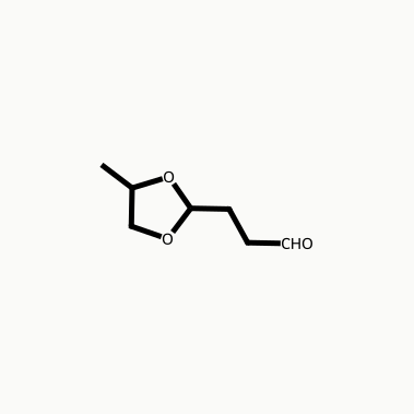 CC1COC(CCC=O)O1